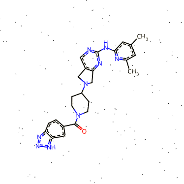 Cc1cc(C)nc(Nc2ncc3c(n2)CN(C2CCN(C(=O)c4ccc5nn[nH]c5c4)CC2)C3)c1